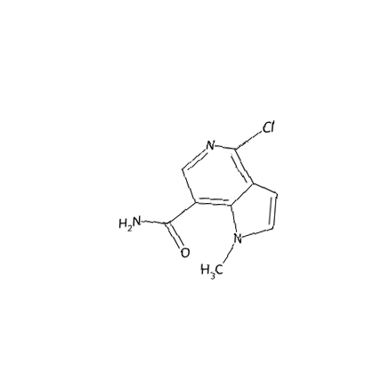 Cn1ccc2c(Cl)ncc(C(N)=O)c21